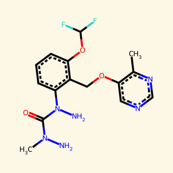 Cc1ncncc1OCc1c(OC(F)F)cccc1N(N)C(=O)N(C)N